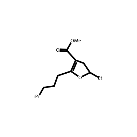 CCC1CC(C(=O)OC)=C(CCCC(C)C)O1